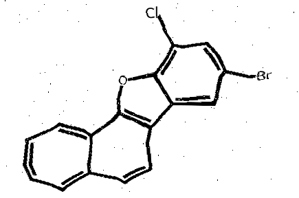 Clc1cc(Br)cc2c1oc1c3ccccc3ccc21